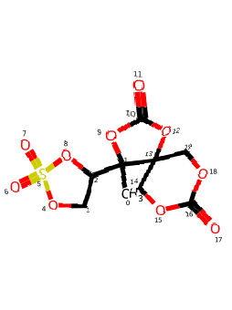 CC1(C2COS(=O)(=O)O2)OC(=O)OC12COC(=O)OC2